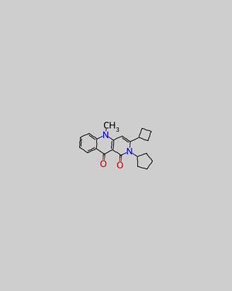 Cn1c2ccccc2c(=O)c2c(=O)n(C3CCCC3)c(C3CCC3)cc21